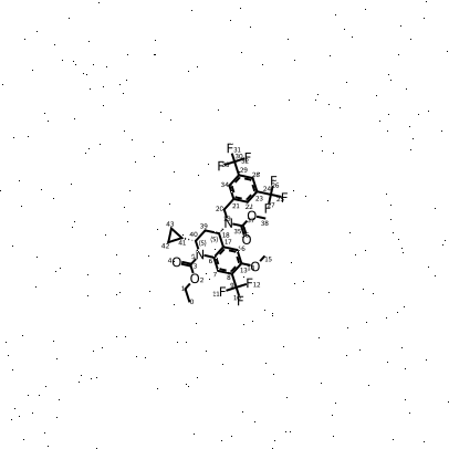 CCOC(=O)N1c2cc(C(F)(F)F)c(OC)cc2[C@@H](N(Cc2cc(C(F)(F)F)cc(C(F)(F)F)c2)C(=O)OC)C[C@H]1C1CC1